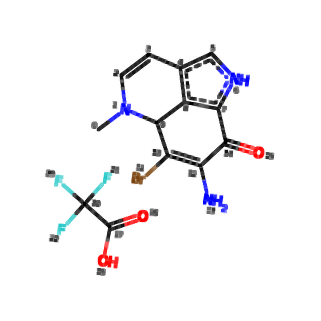 CN1C=Cc2c[nH]c3c2C1C(Br)=C(N)C3=O.O=C(O)C(F)(F)F